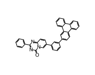 O=c1nc(-c2ccccc2)nc2ccc(-c3cccc(-c4ccc5c6ccccc6c6ccccc6c5c4)c3)cn12